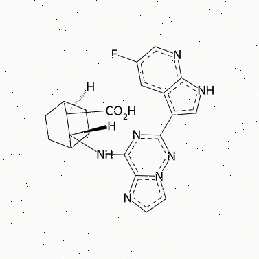 O=C(O)[C@@H]1C2CCC(CC2)[C@H]1Nc1nc(-c2c[nH]c3ncc(F)cc23)nn2ccnc12